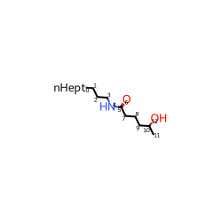 CCCCCCCCCCNC(=O)CCCC(C)O